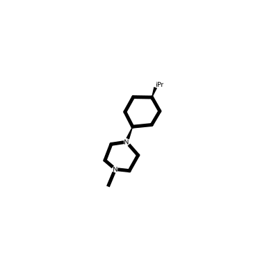 CC(C)[C@H]1CC[C@@H](N2CCN(C)CC2)CC1